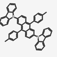 Cc1ccc(-c2c3ccc(-n4c5ccccc5c5ccccc54)cc3c(-c3ccc(C)cc3)c3ccc(-n4c5ccccc5c5ccccc54)cc23)cc1